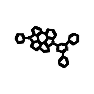 c1ccc(-c2cc(-n3c4cccc5c4c4c6c(ccc7c6c6c-5cccc6n7-c5ccccc5)ccc43)nc(-c3ccccc3)n2)cc1